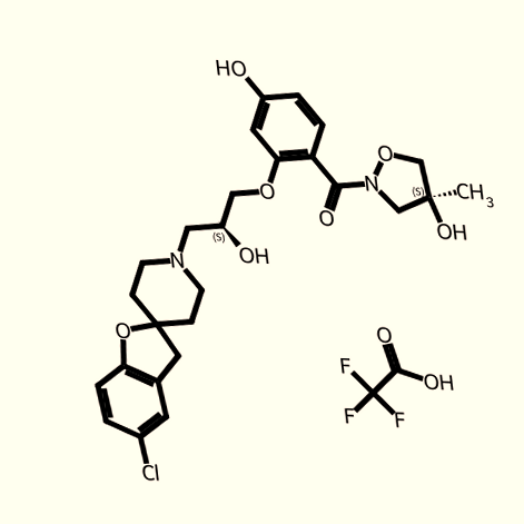 C[C@@]1(O)CON(C(=O)c2ccc(O)cc2OC[C@@H](O)CN2CCC3(CC2)Cc2cc(Cl)ccc2O3)C1.O=C(O)C(F)(F)F